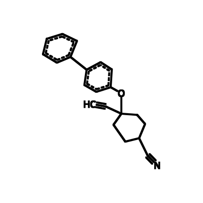 C#CC1(Oc2ccc(-c3ccccc3)cc2)CCC(C#N)CC1